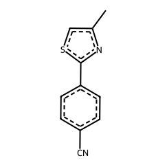 Cc1csc(-c2ccc(C#N)cc2)n1